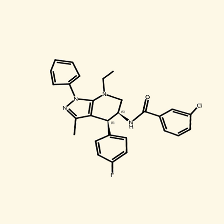 CCN1C[C@@H](NC(=O)c2cccc(Cl)c2)[C@@H](c2ccc(F)cc2)c2c(C)nn(-c3ccccc3)c21